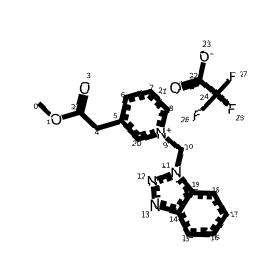 COC(=O)Cc1ccc[n+](Cn2nnc3ccccc32)c1.O=C([O-])C(F)(F)F